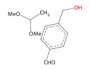 COC(C)OC.O=Cc1ccc(CO)cc1